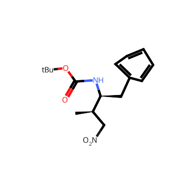 C[C@H](C[N+](=O)[O-])[C@H](Cc1ccccc1)NC(=O)OC(C)(C)C